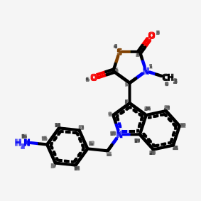 CN1C(=O)SC(=O)C1c1cn(Cc2ccc(N)cc2)c2ccccc12